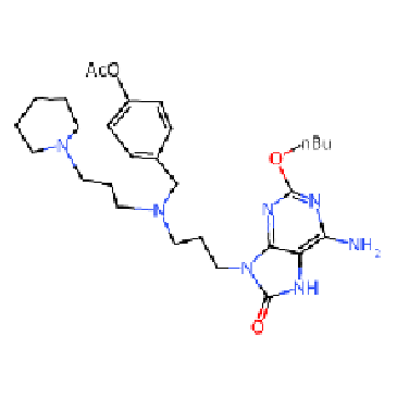 CCCCOc1nc(N)c2[nH]c(=O)n(CCCN(CCCN3CCCCC3)Cc3ccc(OC(C)=O)cc3)c2n1